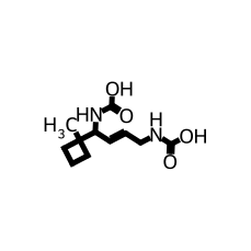 CC1(C(/C=C/CNC(=O)O)NC(=O)O)CCC1